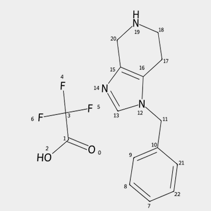 O=C(O)C(F)(F)F.c1ccc(Cn2cnc3c2CCNC3)cc1